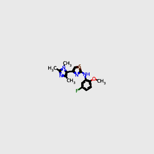 COc1ccc(F)cc1Nc1nc(-c2c(C)nc(C)n2C)cs1